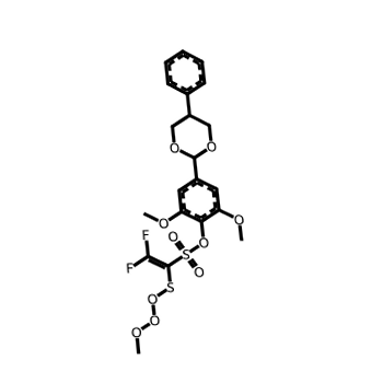 COOOSC(=C(F)F)S(=O)(=O)Oc1c(OC)cc(C2OCC(c3ccccc3)CO2)cc1OC